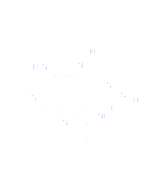 CC1c2cccc(C(N)=O)c2C(=O)N1c1ccc(N2CCN(C)CC2)cc1.CNC(=O)c1cccc2c1C(=O)N(c1ccc(CN3CCCCC3)cc1)C2